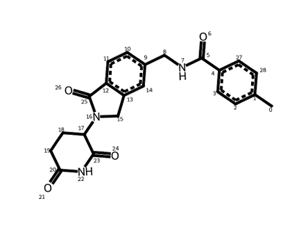 Cc1ccc(C(=O)NCc2ccc3c(c2)CN(C2CCC(=O)NC2=O)C3=O)cc1